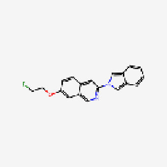 FCCOc1ccc2cc(-n3cc4ccccc4c3)ncc2c1